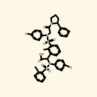 Cc1ccccc1S(=O)(=O)N(c1ccc(Cl)cc1)C(C(=O)O)c1cccc(S(=O)(=O)N(CC(=O)N2CCCC2c2ccccc2)c2ccc(Cl)cc2)c1C